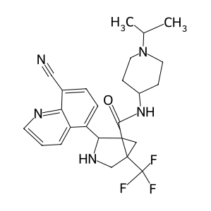 CC(C)N1CCC(NC(=O)C23CC2(C(F)(F)F)CNC3c2ccc(C#N)c3ncccc23)CC1